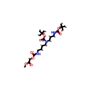 COC(=O)COC(=O)NCCCCN(CCCNC(=O)OC(C)(C)C)C(=O)OC(C)(C)C